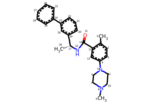 Cc1ccc(N2CCN(C)CC2)cc1C(=O)N[C@H](C)c1cccc(-c2ccccc2)c1